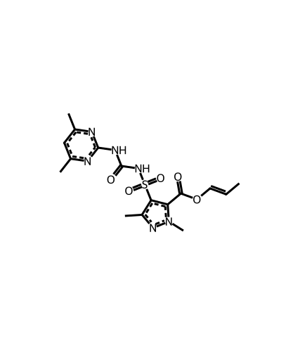 CC=COC(=O)c1c(S(=O)(=O)NC(=O)Nc2nc(C)cc(C)n2)c(C)nn1C